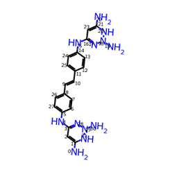 NC1=CC(Nc2ccc(C=Cc3ccc(NC4=NN(N)NC(N)=C4)cc3)cc2)=NN(N)N1